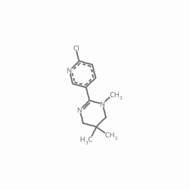 CN1CC(C)(C)CN=C1c1ccc(Cl)nc1